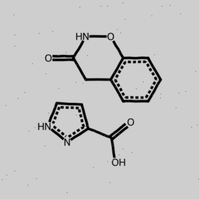 O=C(O)c1cc[nH]n1.O=C1Cc2ccccc2ON1